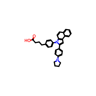 O=C(O)CCCc1ccc(-n2c(-c3ccc(N4CCCC4)cc3)cc3c4ccccc4ccc32)cc1